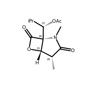 CC(=O)O[C@@H](C(C)C)[C@]12C(=O)O[C@H]1[C@@H](C)C(=O)N2C